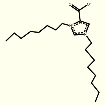 CCCCCCCCn1cc(C(=O)[O-])[n+](CCCCCCCC)c1